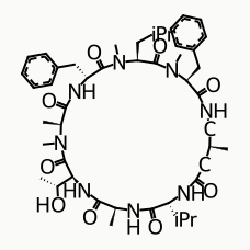 CC(C)C[C@H]1C(=O)N(C)[C@@H](Cc2ccccc2)C(=O)NC[C@@H](C)CC(=O)N[C@H](C(C)C)C(=O)N[C@@H](C)C(=O)N[C@@H]([C@@H](C)O)C(=O)N(C)[C@@H](C)C(=O)N[C@H](Cc2ccccc2)C(=O)N1C